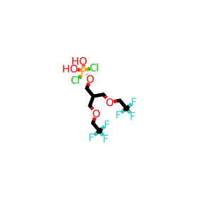 OP(O)(Cl)(Cl)OCC(COCC(F)(F)F)COCC(F)(F)F